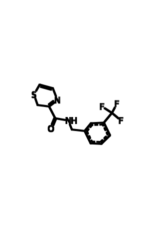 O=C(NCc1cccc(C(F)(F)F)c1)C1=NC=CSC1